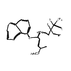 CC(O)C(NCC(F)(F)C(F)(F)C(F)(F)F)Oc1cccc2ccccc12